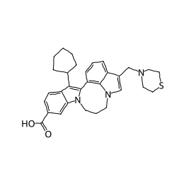 O=C(O)c1ccc2c(C3CCCCC3)c3n(c2c1)CCCn1cc(CN2CCSCC2)c2cccc-3c21